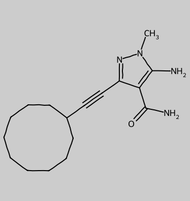 Cn1nc(C#CC2CCCCCCCCC2)c(C(N)=O)c1N